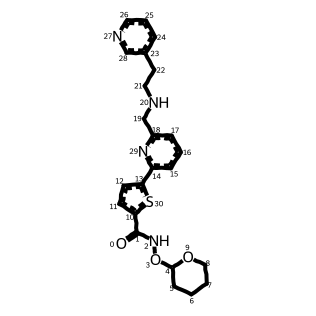 O=C(NOC1CCCCO1)c1ccc(-c2cccc(CNCCc3cccnc3)n2)s1